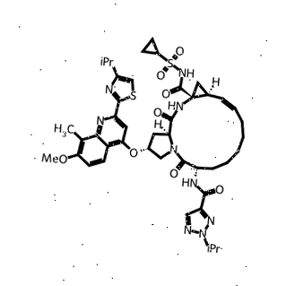 COc1ccc2c(O[C@@H]3C[C@H]4C(=O)N[C@]5(C(=O)NS(=O)(=O)C6CC6)C[C@H]5/C=C\CCCCC[C@H](NC(=O)c5cnn(C(C)C)n5)C(=O)N4C3)cc(-c3nc(C(C)C)cs3)nc2c1C